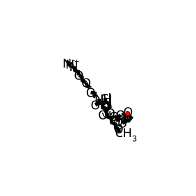 COCCCC(CS(=O)(=O)c1ccc(Cl)c(C(=O)NCCOCCOCCOCCN=[N+]=[N-])c1)OC(=O)ON1C(=O)CCC1=O